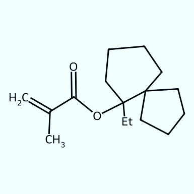 C=C(C)C(=O)OC1(CC)CCCCC12CCCC2